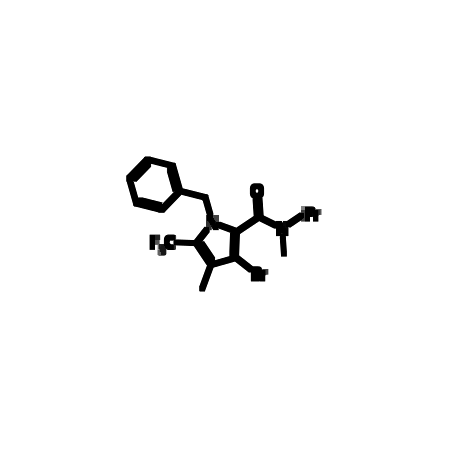 Cc1c(Br)c(C(=O)N(C)C(C)C)n(Cc2ccccc2)c1C(F)(F)F